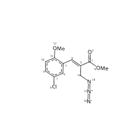 COC(=O)/C(=C/c1cc(Cl)ccc1OC)CN=[N+]=[N-]